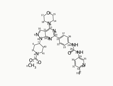 COC(=O)N1CCC(n2ncc3c(N4CCOCC4)nc(-c4ccc(NC(=O)Nc5ccc(F)nc5)cc4)nc32)CC1